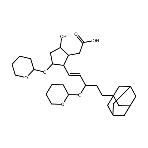 O=C(O)CC1C(O)CC(OC2CCCCO2)C1C=CC(CCC12CC3CC(CC(C3)C1)C2)OC1CCCCO1